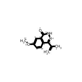 C=C(C)c1n[nH]c(=O)c2cc(OC)ccc12